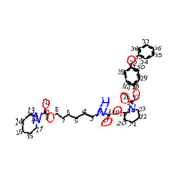 O=C(NCCCCCCOC(=O)N1CCCCC1)OC1CCCCN1C(=O)Oc1ccc(Oc2ccccc2)cc1